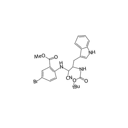 COC(=O)c1cc(Br)ccc1NC(C#N)C(Cc1c[nH]c2ccccc12)NC(=O)OC(C)(C)C